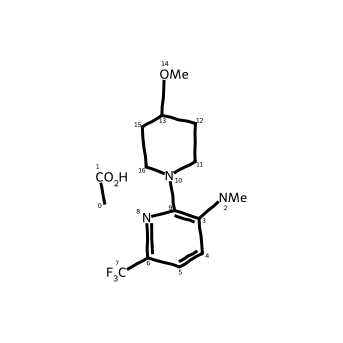 CC(=O)O.CNc1ccc(C(F)(F)F)nc1N1CCC(OC)CC1